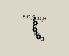 CCOC(=O)C(Cc1cccc(CN2CCN(c3nc4ccc(Cl)cc4s3)CC2)c1)C(=O)O